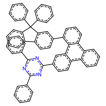 c1ccc(-c2nc(-c3ccccc3)nc(-c3ccc4c5ccccc5c5cccc(-c6ccc7c(c6)C(c6ccccc6)(c6ccccc6)c6ccccc6-7)c5c4c3)n2)cc1